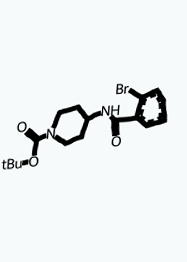 CC(C)(C)OC(=O)N1CCC(NC(=O)c2ccccc2Br)CC1